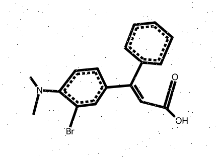 CN(C)c1ccc(C(=CC(=O)O)c2ccccc2)cc1Br